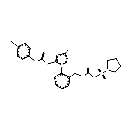 CC(C)(C)c1cc(NC(=O)Nc2ccc(Cl)cc2)n(-c2ccccc2CNC(=O)NS(=O)(=O)N2CCCC2)n1